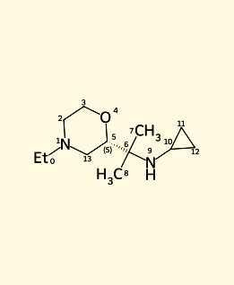 CCN1CCO[C@H](C(C)(C)NC2CC2)C1